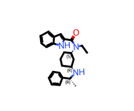 CCN(C(=O)c1cc2ccccc2[nH]1)[C@H]1CCC[C@@H](N[C@H](C)c2ccccc2)C1